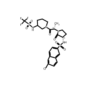 C[C@@H](C(=O)N1CCCC(NS(=O)(=O)C(F)(F)F)C1)N1CC[C@H](NS(=O)(=O)c2ccc3cc(Cl)ccc3c2)C1=O